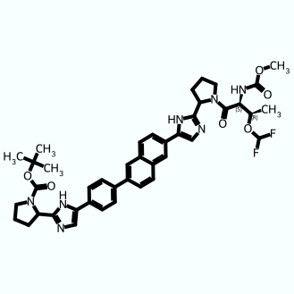 COC(=O)N[C@H](C(=O)N1CCCC1c1ncc(-c2ccc3cc(-c4ccc(-c5cnc(C6CCCN6C(=O)OC(C)(C)C)[nH]5)cc4)ccc3c2)[nH]1)[C@@H](C)OC(F)F